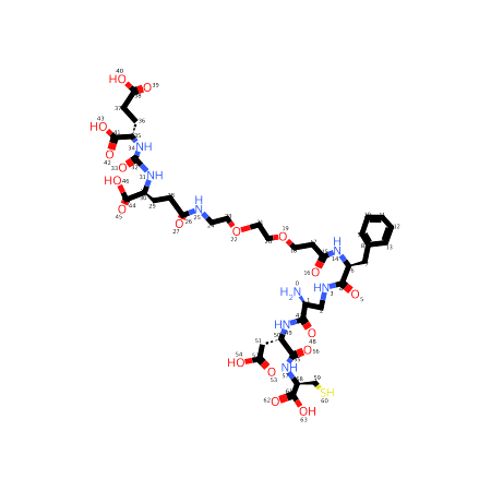 N[C@@H](CNC(=O)[C@H](Cc1ccccc1)NC(=O)CCOCCOCCNC(=O)CC[C@H](NC(=O)N[C@@H](CCC(=O)O)C(=O)O)C(=O)O)C(=O)N[C@@H](CC(=O)O)C(=O)N[C@@H](CS)C(=O)O